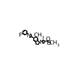 COC(=O)C1CN(C2CCC3=CC(C4CN(c5cccc(F)c5)C4)C(C)C=C32)C1